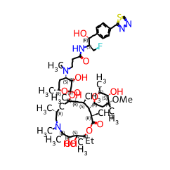 CC[C@H]1OC(=O)[C@H](C)C([C@H]2C[C@@](C)(OC)[C@@H](O)[C@H](C)O2)[C@H](C)[C@@H](O[C@@H]2O[C@H](C)C[C@H](N(C)CCC(=O)N[C@H](CF)[C@H](O)c3ccc(-c4nncs4)cc3)[C@H]2O)[C@](C)(O)C[C@@H](C)CN(C)[C@H](C)[C@@H](O)[C@]1(C)O